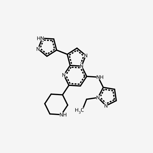 CCn1nccc1Nc1cc(C2CCCNC2)nc2c(-c3cn[nH]c3)cnn12